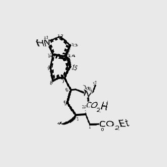 CCOC(=O)CCC(C)CC(c1ccc2[nH]ccc2c1)N(C)C(=O)O